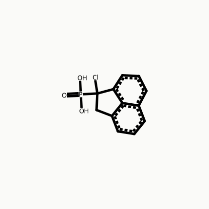 O=P(O)(O)C1(Cl)Cc2cccc3cccc1c23